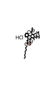 CCCCCCCCOC(=O)C=Cc1ccccc1C1C(C(=O)OCC)=C(C)NC(CNC)=C1C(=O)OCC.Cl